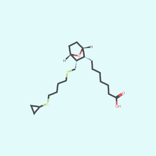 O=C(O)CCCCCC[C@@H]1[C@H](CSCCCCSC2CC2)[C@@H]2CC[C@H]1O2